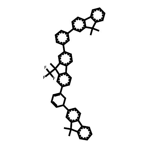 CC1(C)c2ccccc2-c2ccc(-c3cccc(-c4ccc5c(c4)C(C)(C(F)(F)F)c4cc(C6=CC=CC(c7ccc8c(c7)C(C)(C)c7ccccc7-8)C6)ccc4-5)c3)cc21